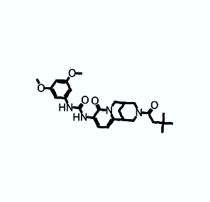 COc1cc(NC(=O)Nc2ccc3n(c2=O)CC2CC3CN(C(=O)CC(C)(C)C)C2)cc(OC)c1